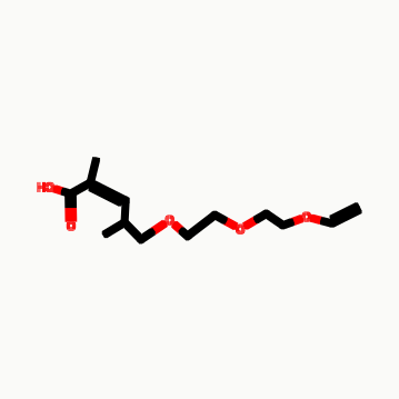 C=COCCOCCOCC(C)C=C(C)C(=O)O